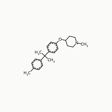 Cc1ccc(C(C)(C)c2ccc(OC3CCN(C)CC3)cc2)cc1